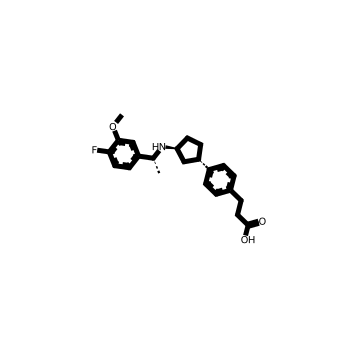 COc1cc([C@@H](C)N[C@H]2CC[C@H](c3ccc(CCC(=O)O)cc3)C2)ccc1F